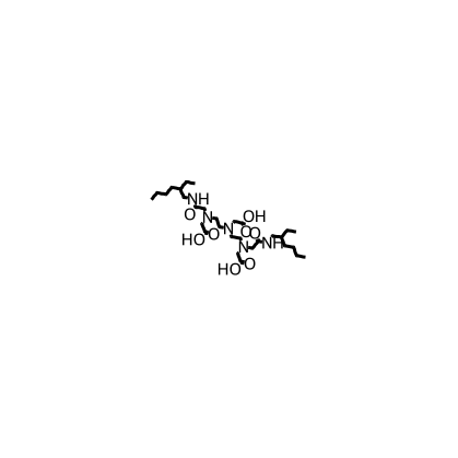 CCCCC(CC)CNC(=O)CN(CCN(CCN(CC(=O)O)CC(=O)NCC(CC)CCCC)CC(=O)O)CC(=O)O